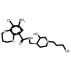 N#CCCCN1CC[C@@H](CNC(=O)c2cc(N)c(Cl)c3c2OCCCO3)C(O)C1